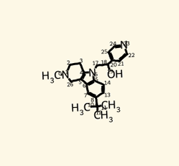 CN1CCc2c(c3cc(C(C)(C)C)ccc3n2CC(O)c2ccncc2)C1